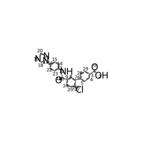 O=C(O)c1ccc(-c2cc(C(=O)Nc3ccc(-n4cncn4)cc3)ccc2Cl)cc1